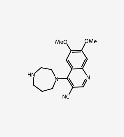 COc1cc2ncc(C#N)c(N3CCCNCC3)c2cc1OC